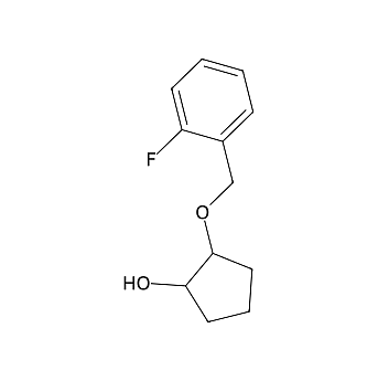 OC1CCCC1OCc1ccccc1F